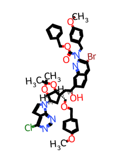 COc1ccc(COC[C@]2(C[C@@H](O)c3ccc4cc(Br)c(N(Cc5ccc(OC)cc5)C(=O)OCc5ccccc5)nc4c3)C[C@@H](n3ccc4c(Cl)ncnc43)[C@@H]3OC(C)(C)O[C@@H]32)cc1